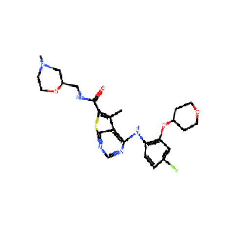 Cc1c(C(=O)NCC2CN(C)CCO2)sc2ncnc(Nc3ccc(F)cc3OC3CCOCC3)c12